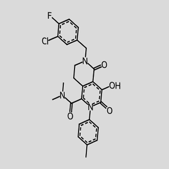 Cc1ccc(-n2c(C(=O)N(C)C)c3c(c(O)c2=O)C(=O)N(Cc2ccc(F)c(Cl)c2)CC3)cc1